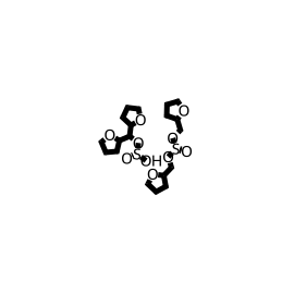 O=S(O)OC(C1CCCO1)C1CCCO1.O=S(OCC1CCCO1)OCC1CCCO1